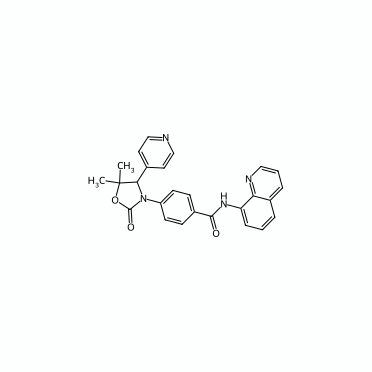 CC1(C)OC(=O)N(c2ccc(C(=O)Nc3cccc4cccnc34)cc2)C1c1ccncc1